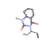 C=CC(CCCCCC)n1c(=O)c2ccccc2n(CC)c1=O